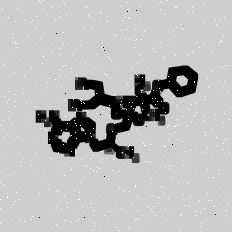 CC(C)CC(CC(C)C)=NOP(=O)(CO[C@H](C)Cn1cnc2c(N)ncnc21)NC(C)(C)C(=O)OC1CCCCC1